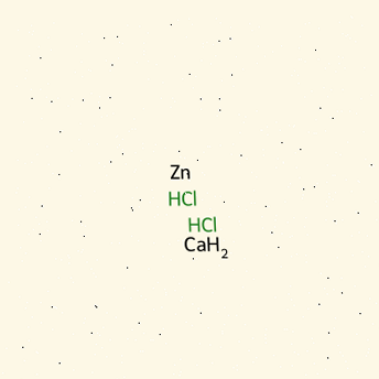 Cl.Cl.[CaH2].[Zn]